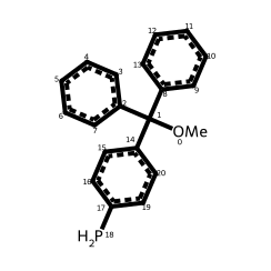 COC(c1ccccc1)(c1ccccc1)c1ccc(P)cc1